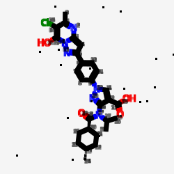 Cc1nc2cc(-c3ccc(-n4cc(C(=O)O)c(N(C(=O)[C@H]5CC[C@H](C)CC5)C(C)C)n4)cc3)nn2c(O)c1Cl